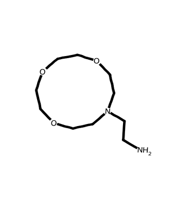 NCCN1CCOCCOCCOCC1